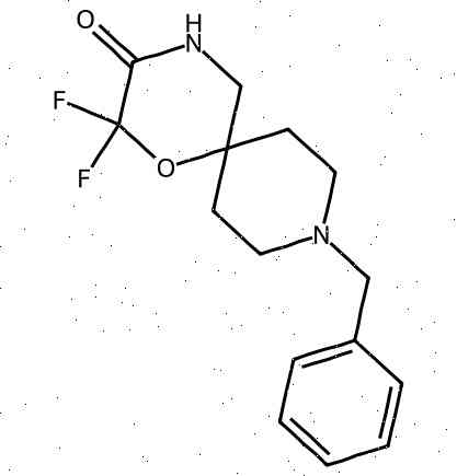 O=C1NCC2(CCN(Cc3ccccc3)CC2)OC1(F)F